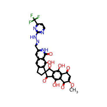 COC1=CC(=O)c2c(O)c3c(c(O)c2C1=O)C(=O)C1(CCc2cc4cc(C=NNc5nccc(C(F)(F)F)n5)[nH]c(=O)c4c(O)c21)C3=O